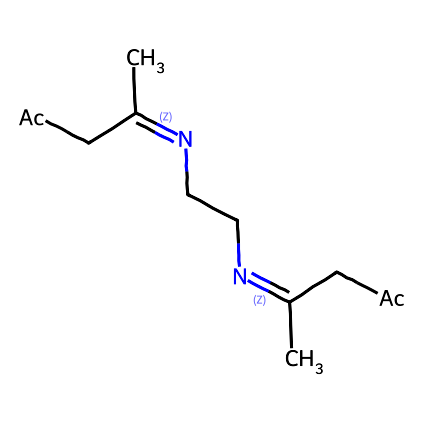 CC(=O)C/C(C)=N\CC/N=C(/C)CC(C)=O